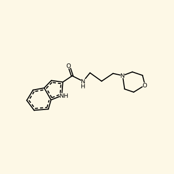 O=C(NCCCN1CCOCC1)c1cc2ccccc2[nH]1